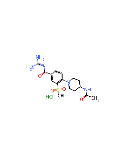 CC(=O)NC1CCN(c2ccc(C(=O)N=C(N)N)cc2S(C)(=O)=O)CC1.Cl